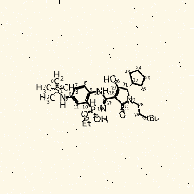 C=S(C)(C)(C)Nc1ccc2c(c1)[PH](O)(OCC)N=C(C1=C(O)[C@H](C3CCCC3)N(CCC(C)(C)C)C1=O)N2